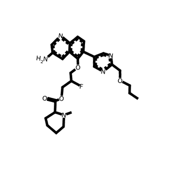 CCCOCc1ncc(-c2ccc3ncc(N)cc3c2OCC(F)COC(=O)C2CCCCN2C)cn1